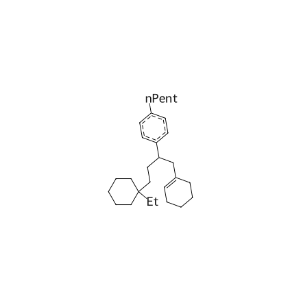 CCCCCc1ccc(C(CCC2(CC)CCCCC2)CC2=CCCCC2)cc1